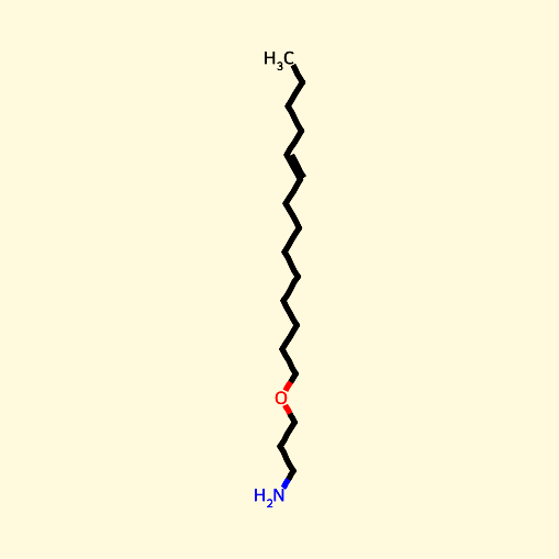 CCCCC=CCCCCCCCCOCCCN